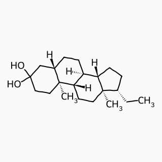 CC[C@H]1CC[C@H]2[C@@H]3CC[C@H]4CC(O)(O)CC[C@]4(C)[C@H]3CC[C@]12C